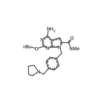 CCCCOc1nc(N)c2cc(C(=O)NC)n(Cc3ccc(CN4CCCC4)cc3)c2n1